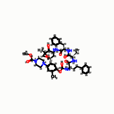 Cc1cc(N2CCN(C(=O)OC(C)(C)C)CC2)ccc1OC(=O)N[C@@H](CCc1ccccc1)C(=O)N[C@@H](CC(C)C)C(=O)N[C@@H](Cc1ccccc1)C(=O)N[C@@H](CC(C)C)C(=O)[C@@]1(C)CO1